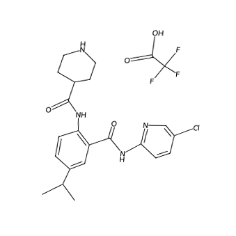 CC(C)c1ccc(NC(=O)C2CCNCC2)c(C(=O)Nc2ccc(Cl)cn2)c1.O=C(O)C(F)(F)F